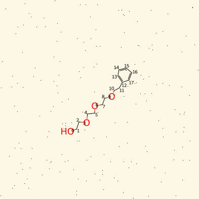 OCCOCCOCCOCCc1cc[c]cc1